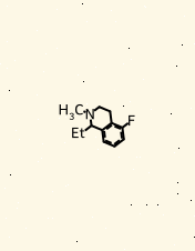 CCC1c2cccc(F)c2CCN1C